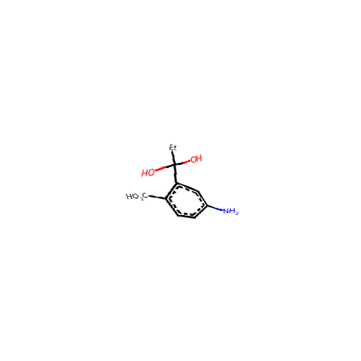 CCC(O)(O)c1cc(N)ccc1C(=O)O